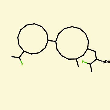 CCCCCCCCCCC(CC1CCCCCCC(C2CCCCCCCC(C(C)F)CCC2)CCCC(C)C1)C(C)F